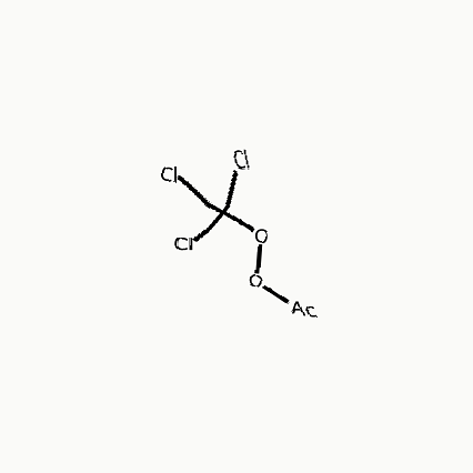 CC(=O)OOC(Cl)(Cl)Cl